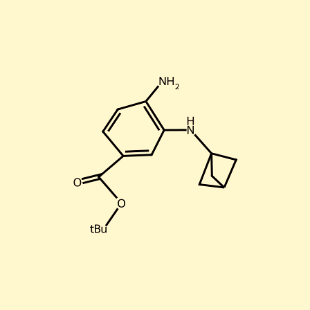 CC(C)(C)OC(=O)c1ccc(N)c(NC23CC(C2)C3)c1